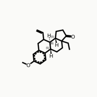 C=CC1Cc2cc(OC)ccc2[C@H]2CCC3(CC)C(=O)CC[C@H]3[C@H]12